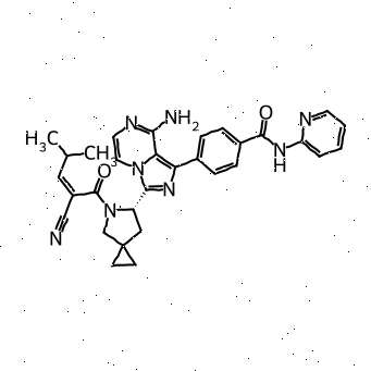 CC(C)/C=C(/C#N)C(=O)N1CC2(CC2)C[C@H]1c1nc(-c2ccc(C(=O)Nc3ccccn3)cc2)c2c(N)nccn12